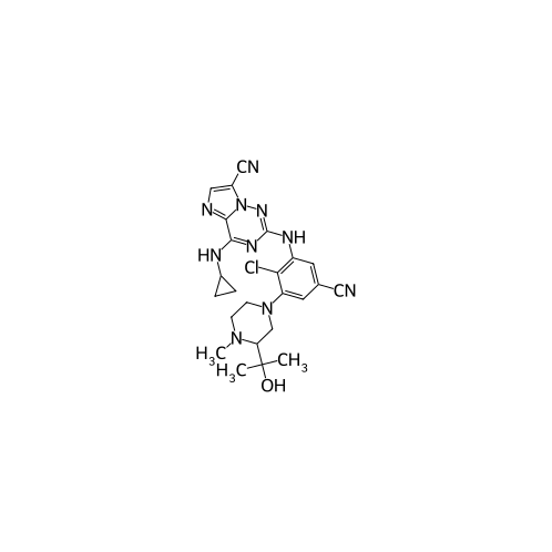 CN1CCN(c2cc(C#N)cc(Nc3nc(NC4CC4)c4ncc(C#N)n4n3)c2Cl)CC1C(C)(C)O